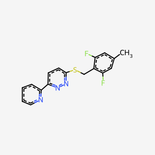 Cc1cc(F)c(CSc2ccc(-c3ccccn3)nn2)c(F)c1